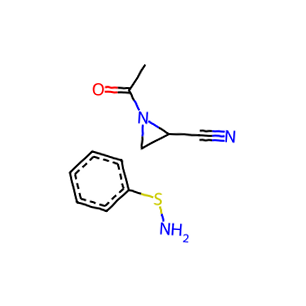 CC(=O)N1CC1C#N.NSc1ccccc1